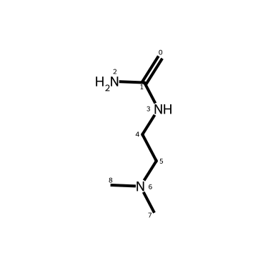 C=C(N)NCCN(C)C